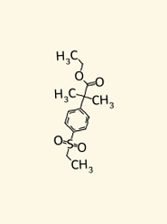 CCOC(=O)C(C)(C)c1ccc(S(=O)(=O)CC)cc1